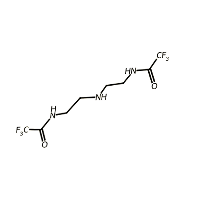 O=C(NCCNCCNC(=O)C(F)(F)F)C(F)(F)F